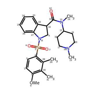 COc1ccc(S(=O)(=O)N2CC(C(=O)N(C)C3CCN(C)CC3)c3ccccc32)c(C)c1C